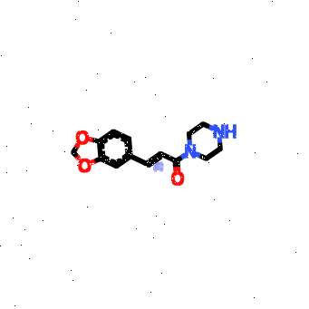 O=C(/C=C/c1ccc2c(c1)OCO2)N1CCNCC1